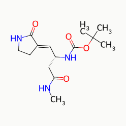 CNC(=O)C[C@H](/C=C1\CCNC1=O)NC(=O)OC(C)(C)C